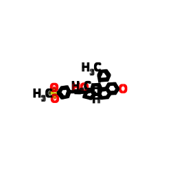 Cc1cccc([C@H]2C[C@@]3(C)[C@@H](CC[C@@]3(O)C#Cc3ccc(S(C)(=O)=O)cc3)[C@@H]3CCC4=CC(=O)CCC4=C32)c1